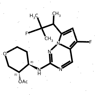 CC(=O)O[C@@H]1COCC[C@H]1Nc1ncc2c(F)cc(C(C)C(C)(C)F)n2n1